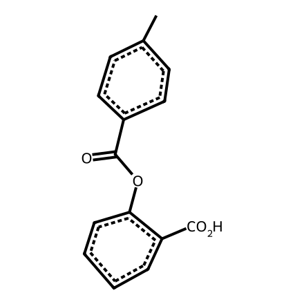 Cc1ccc(C(=O)Oc2ccccc2C(=O)O)cc1